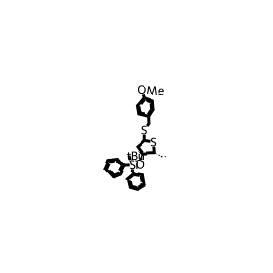 [CH2][C@H]1SC(SCc2ccc(OC)cc2)C[C@@H]1O[Si](c1ccccc1)(c1ccccc1)C(C)(C)C